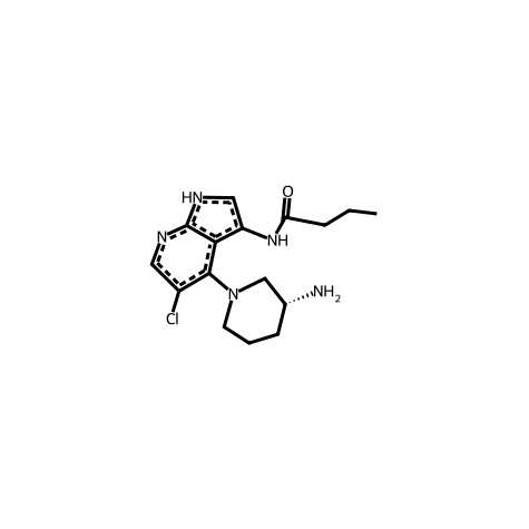 CCCC(=O)Nc1c[nH]c2ncc(Cl)c(N3CCC[C@@H](N)C3)c12